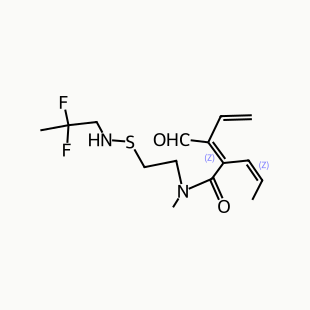 C=C/C(C=O)=C(\C=C/C)C(=O)N(C)CCSNCC(C)(F)F